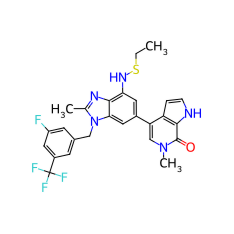 CCSNc1cc(-c2cn(C)c(=O)c3[nH]ccc23)cc2c1nc(C)n2Cc1cc(F)cc(C(F)(F)F)c1